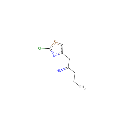 CCCC(=N)Cc1csc(Cl)n1